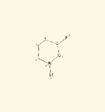 C[CH2][Al]1[CH2]CCC(F)[O]1